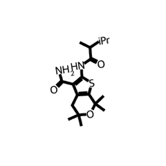 CC(C)C(C)C(=O)Nc1sc2c(c1C(N)=O)CC(C)(C)OC2(C)C